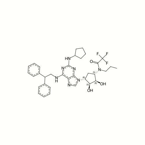 CCCN(C(=O)C(F)(F)F)[C@H]1C[C@@H](n2cnc3c(NCC(c4ccccc4)c4ccccc4)nc(NC4CCCC4)nc32)[C@H](O)[C@@H]1O